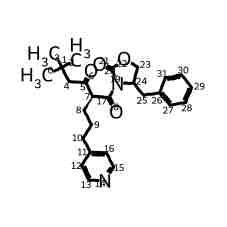 CC(C)(C)CC(=O)[C@H](CCCc1ccncc1)C(=O)N1C(=O)OCC1Cc1ccccc1